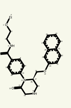 CCOCCNC(=O)c1ccc(N2C(=O)CNC[C@@H]2COc2ccc3ccccc3c2)cc1